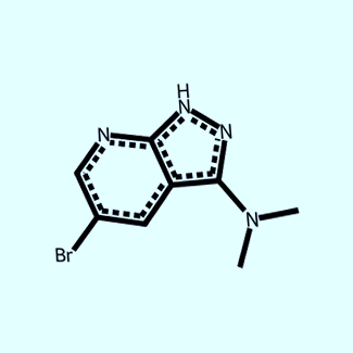 CN(C)c1n[nH]c2ncc(Br)cc12